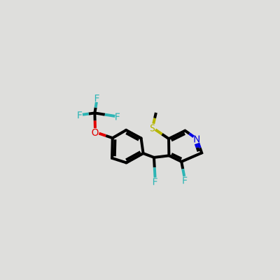 CSc1cncc(F)c1C(F)c1ccc(OC(F)(F)F)cc1